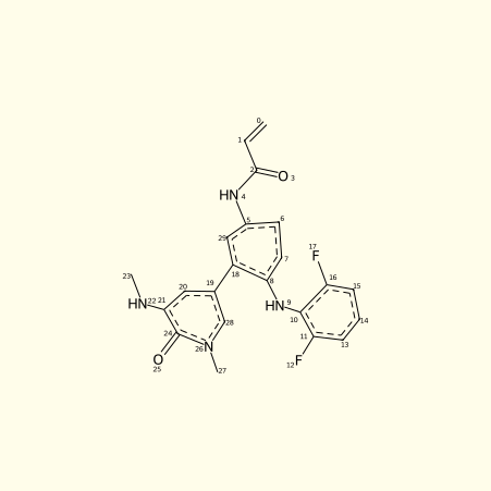 C=CC(=O)Nc1ccc(Nc2c(F)cccc2F)c(-c2cc(NC)c(=O)n(C)c2)c1